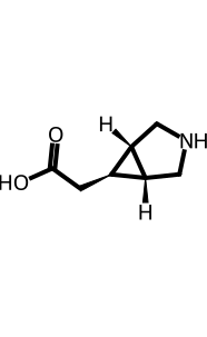 O=C(O)C[C@H]1[C@@H]2CNC[C@@H]21